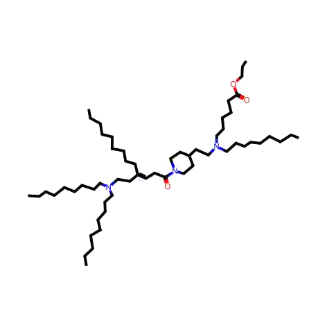 CCCCCCCCC/C(=C\CC(=O)N1CCC(CCN(CCCCCCCCC)CCCCCC(=O)OCCC)CC1)CCN(CCCCCCCCC)CCCCCCCCC